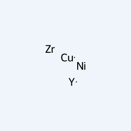 [Cu].[Ni].[Y].[Zr]